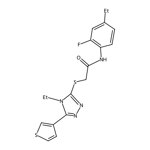 CCc1ccc(NC(=O)CSc2nnc(-c3ccsc3)n2CC)c(F)c1